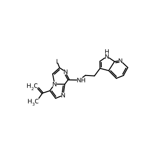 C=C(C)c1cnc2c(NCCc3c[nH]c4ncccc34)nc(I)cn12